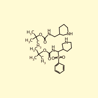 CC(C)(C)OC(=O)NC(C1CCCNC1)S(=O)(=O)c1ccccc1.CC(C)(C)OC(=O)NCC1CCCNC1